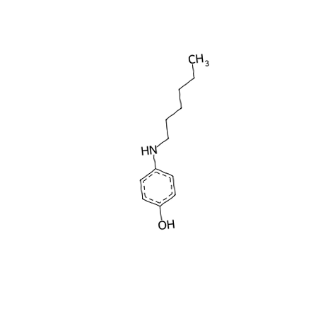 CCCCCCNc1ccc(O)cc1